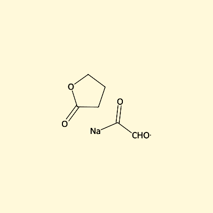 O=C1CCCO1.O=[C][C](=O)[Na]